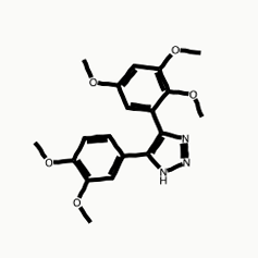 COc1cc(OC)c(OC)c(-c2nn[nH]c2-c2ccc(OC)c(OC)c2)c1